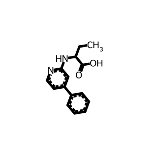 CCC(Nc1cc(-c2ccccc2)ccn1)C(=O)O